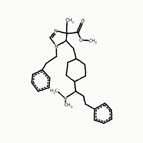 COC(=O)C1(C)N=CN(CCc2ccccc2)C1CC1CCC(C(CCc2ccccc2)N(C)C)CC1